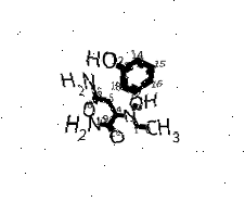 CCN(O)C(CC(N)=O)C(N)=O.Oc1ccccc1